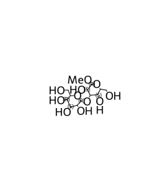 CO[C@@H]1OC(CO)[C@H](O)C(O[C@H]2OC(CO)[C@H](O)[C@H](O)C2O)[C@@H]1O